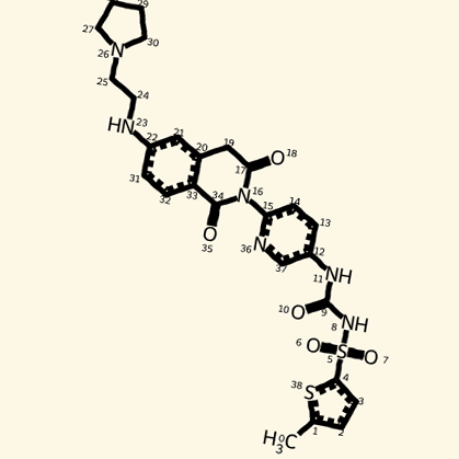 Cc1ccc(S(=O)(=O)NC(=O)Nc2ccc(N3C(=O)Cc4cc(NCCN5CCCC5)ccc4C3=O)nc2)s1